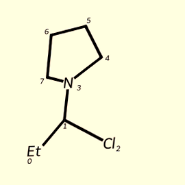 CCC(Cl)N1CCCC1